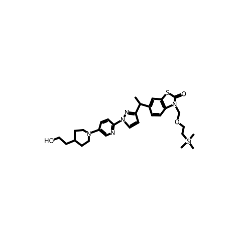 CC(c1ccc2c(c1)sc(=O)n2COCC[Si](C)(C)C)c1ccn(-c2ccc(N3CCC(CCO)CC3)cn2)n1